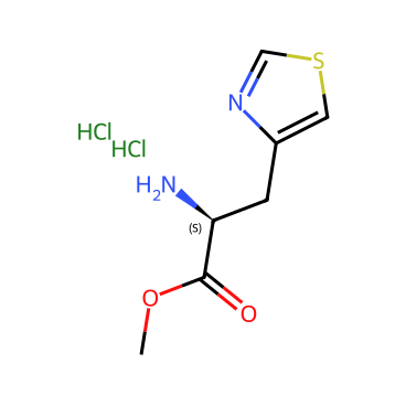 COC(=O)[C@@H](N)Cc1cscn1.Cl.Cl